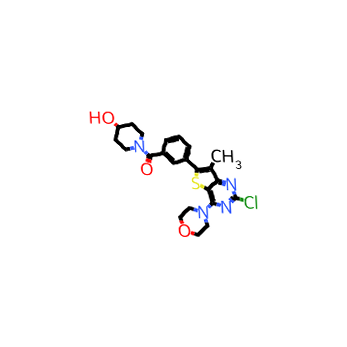 Cc1c(-c2cccc(C(=O)N3CCC(O)CC3)c2)sc2c(N3CCOCC3)nc(Cl)nc12